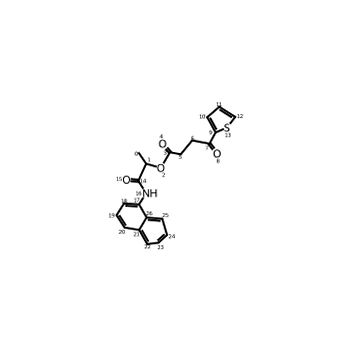 CC(OC(=O)CCC(=O)c1cccs1)C(=O)Nc1cccc2ccccc12